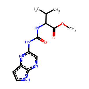 COC(=O)C(NC(=O)Nc1cnc2[nH]ccc2n1)C(C)C